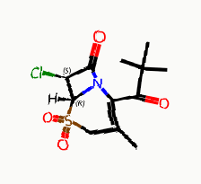 CC1=C(C(=O)C(C)(C)C)N2C(=O)[C@H](Cl)[C@H]2S(=O)(=O)C1